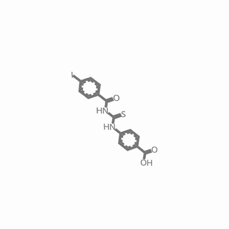 O=C(O)c1ccc(NC(=S)NC(=O)c2ccc(I)cc2)cc1